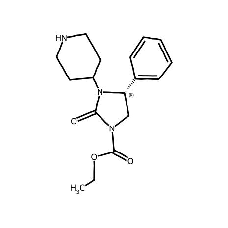 CCOC(=O)N1C[C@@H](c2ccccc2)N(C2CCNCC2)C1=O